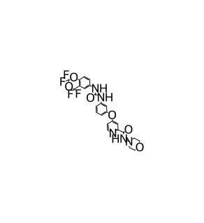 O=C(Nc1cccc(Oc2ccnc(C(=O)NN3CCOCC3)c2)c1)Nc1ccc2c(c1)C(F)(F)OC(F)(F)O2